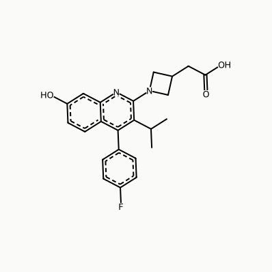 CC(C)c1c(N2CC(CC(=O)O)C2)nc2cc(O)ccc2c1-c1ccc(F)cc1